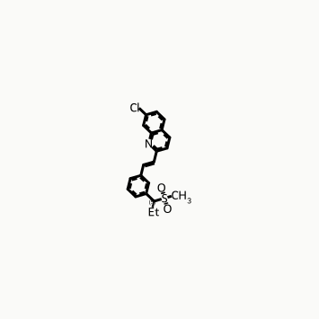 [CH2]C[C@@H](c1cccc(C=Cc2ccc3ccc(Cl)cc3n2)c1)S(C)(=O)=O